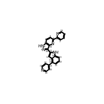 c1ccc(-c2ccc3[nH]nc(-c4cc5c(-c6ccncc6)cccc5[nH]4)c3n2)nc1